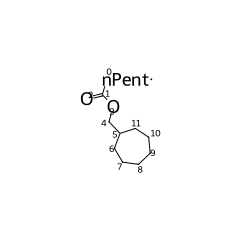 CCCC[CH]C(=O)OCC1CCCCCC1